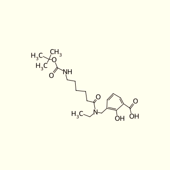 CCN(Cc1cccc(C(=O)O)c1O)C(=O)CCCCCNC(=O)OC(C)(C)C